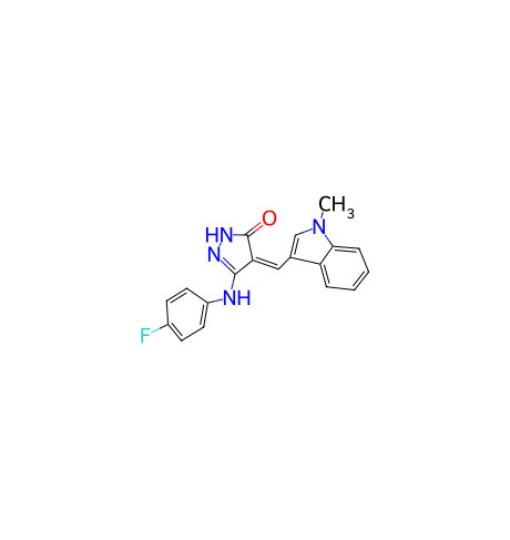 Cn1cc(/C=C2\C(=O)NN=C2Nc2ccc(F)cc2)c2ccccc21